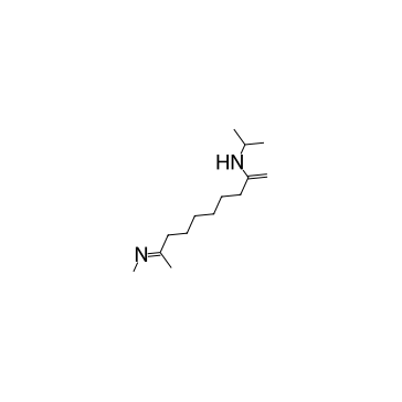 C=C(CCCCCC/C(C)=N/C)NC(C)C